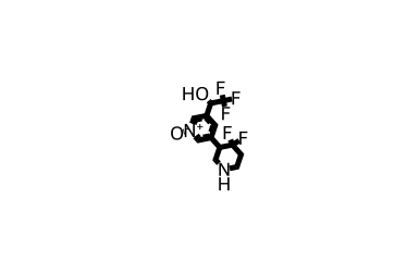 [O-][n+]1cc(C(O)C(F)(F)F)cc(C2CNCCC2(F)F)c1